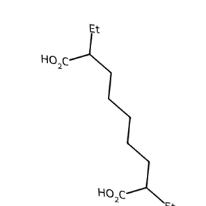 CCC(CCCCCC(CC)C(=O)O)C(=O)O